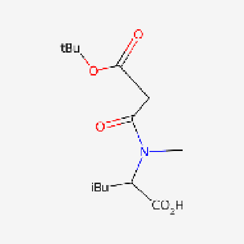 CCC(C)C(C(=O)O)N(C)C(=O)CC(=O)OC(C)(C)C